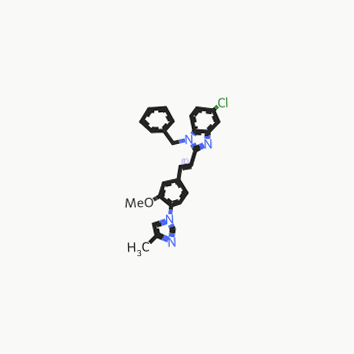 COc1cc(/C=C/c2nc3cc(Cl)ccc3n2Cc2ccccc2)ccc1-n1cnc(C)c1